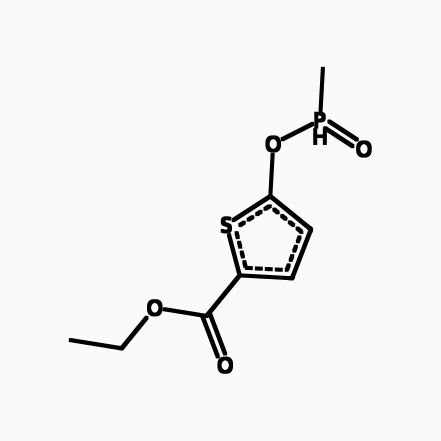 CCOC(=O)c1ccc(O[PH](C)=O)s1